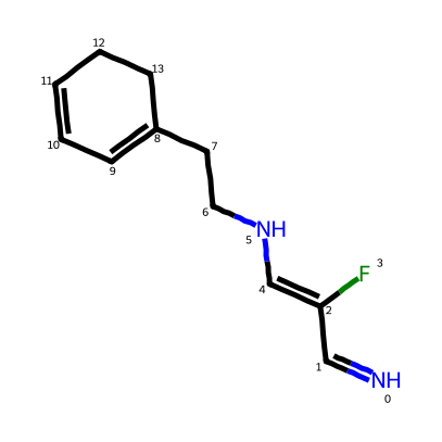 N=C/C(F)=C/NCCC1=CC=CCC1